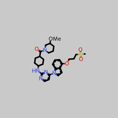 COC1CCCN(C(=O)C2CCC(Nc3nccc(-n4ccc5c(OCCCS(C)(=O)=O)cccc54)n3)CC2)C1